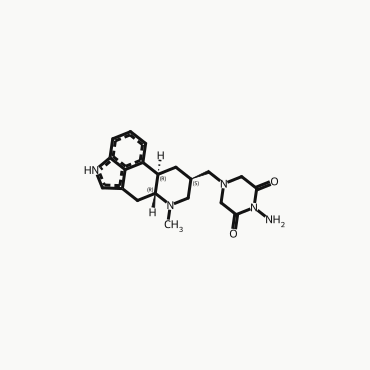 CN1C[C@H](CN2CC(=O)N(N)C(=O)C2)C[C@@H]2c3cccc4[nH]cc(c34)C[C@H]21